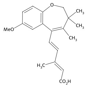 COc1ccc2c(c1)C(/C=C/C(C)=C/C(=O)O)=C(C)C(C)(C)CO2